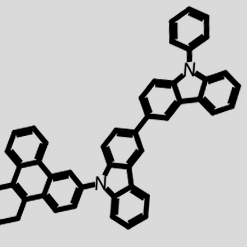 C1=Cc2c(c3ccc(-n4c5ccccc5c5cc(-c6ccc7c(c6)c6ccccc6n7-c6ccccc6)ccc54)cc3c3ccccc23)CC1